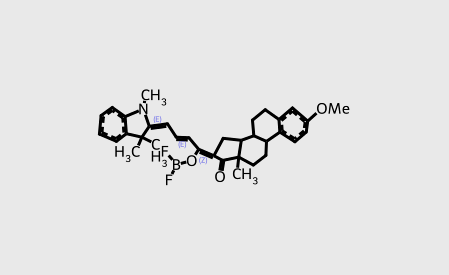 COc1ccc2c(c1)CCC1C2CCC2(C)C(=O)/C(=C(/C=C/C=C3/N(C)c4ccccc4C3(C)C)OB(F)F)CC12